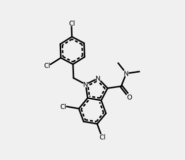 CN(C)C(=O)c1nn(Cc2ccc(Cl)cc2Cl)c2c(Cl)cc(Cl)cc12